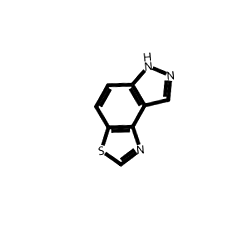 c1nc2c(ccc3[nH]ncc32)s1